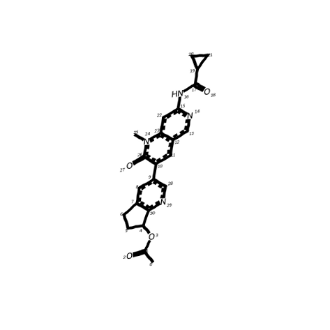 CC(=O)OC1CCc2cc(-c3cc4cnc(NC(=O)C5CC5)cc4n(C)c3=O)cnc21